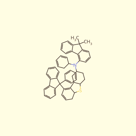 CC1(C)c2ccccc2-c2c(N(C3C=CC=CC3)C3CCC4SC5CC=CC(C6(c7ccccc7)c7ccccc7-c7ccccc76)=C5C4C3)cccc21